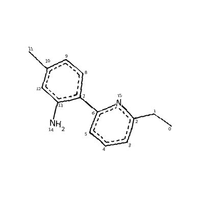 CCc1cccc(-c2ccc(C)cc2N)n1